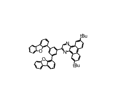 CC(C)(C)c1ccc2c3ccc(C(C)(C)C)cc3c3nc(-c4cc(-c5cccc6c5oc5ccccc56)cc(-c5cccc6c5oc5ccccc56)c4)cnc3c2c1